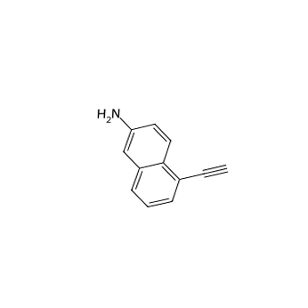 C#Cc1cccc2cc(N)ccc12